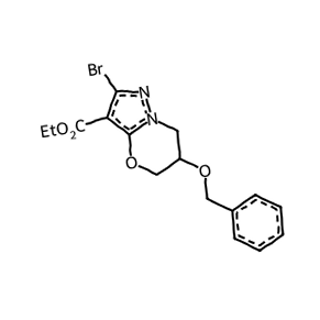 CCOC(=O)c1c(Br)nn2c1OCC(OCc1ccccc1)C2